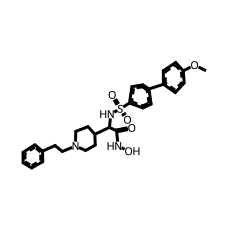 COc1ccc(-c2ccc(S(=O)(=O)NC(C(=O)NO)C3CCN(CCc4ccccc4)CC3)cc2)cc1